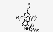 COC(=O)c1c(N)ncn(-c2c(C)cc(CCF)cc2C)c1=O